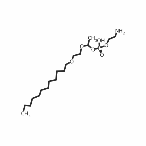 CCCCCCCCCCCCOCCOC(C)OP(=O)(O)OCCN